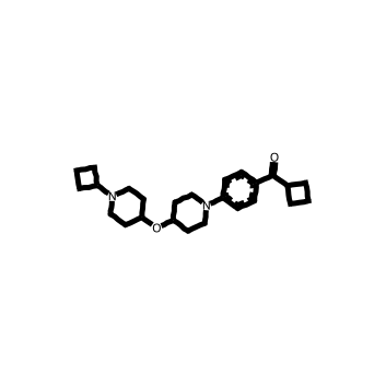 O=C(c1ccc(N2CCC(OC3CCN(C4CCC4)CC3)CC2)cc1)C1CCC1